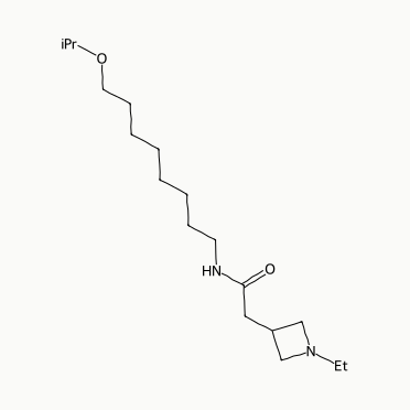 CCN1CC(CC(=O)NCCCCCCCCOC(C)C)C1